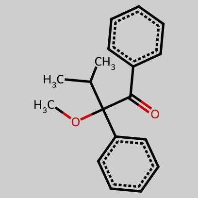 COC(C(=O)c1ccccc1)(c1ccccc1)C(C)C